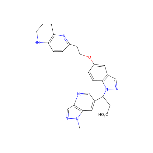 Cn1ncc2ncc(C(CC(=O)O)n3ncc4cc(OCCc5ccc6c(n5)CCCN6)ccc43)cc21